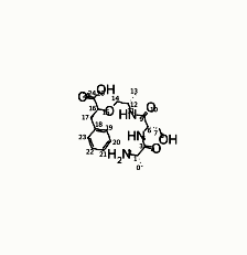 C[C@H](N)C(=O)N[C@@H](CO)C(=O)N[C@@H](C)CO[C@@H](Cc1ccccc1)C(=O)O